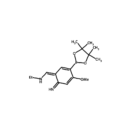 CCN/C=C1/C=C(B2OC(C)(C)C(C)(C)O2)C(OC)=CC1=N